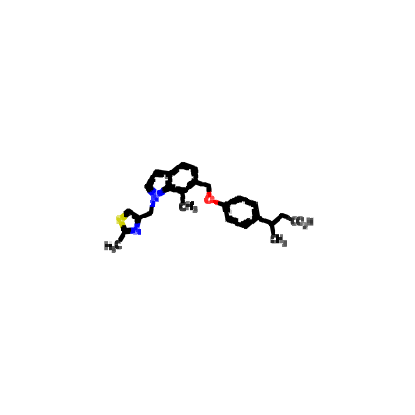 Cc1nc(Cn2ccc3ccc(COc4ccc(C(C)CC(=O)O)cc4)c(C)c32)cs1